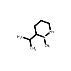 CC(C)C1CCCNN1C